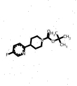 CC(C)(C)OC(=O)N1CCC(c2ccc(F)cn2)CC1